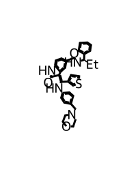 CC[C@@H](NC(=O)c1ccc2c(c1)/C(=C(/Nc1ccc(CN3CCOCC3)cc1)c1ccsc1)C(=O)N2)c1ccccc1